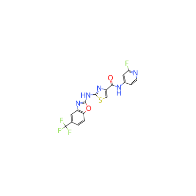 O=C(Nc1ccnc(F)c1)c1csc(Nc2nc3cc(C(F)(F)F)ccc3o2)n1